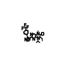 CC[C@@H]1C(=O)N(C)c2cnc(-n3ccnc3-c3ccc(C(F)(F)F)cc3)nc2N1C(C)C